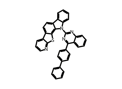 c1ccc(-c2ccc(-c3nc(-n4c5ccccc5c5ccc6c7cccnc7sc6c54)nc4ccccc34)cc2)cc1